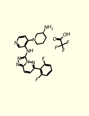 N[C@H]1CCCN(c2ccncc2Nc2nnc3ccc(-c4c(F)cccc4F)nn23)C1.O=C(O)C(F)(F)F